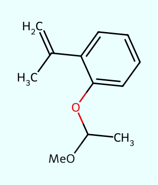 C=C(C)c1ccccc1OC(C)OC